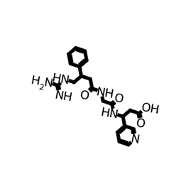 N=C(N)NCC(CC(=O)NCC(=O)NC(CC(=O)O)c1cccnc1)c1ccccc1